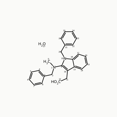 CN(Cc1ccccc1)c1c(CC(=O)O)c2ccccc2n1Cc1ccccc1.O